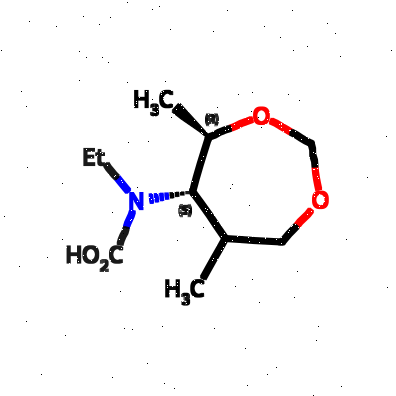 CCN(C(=O)O)[C@H]1C(C)COCO[C@@H]1C